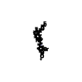 COCOc1ccc(/C=C/c2nc3cc(C)c(N(CCOCCF)C(C)C)cc3s2)cc1Br